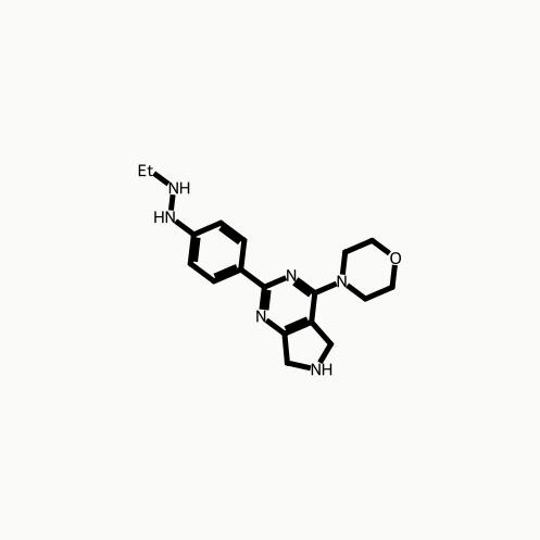 CCNNc1ccc(-c2nc3c(c(N4CCOCC4)n2)CNC3)cc1